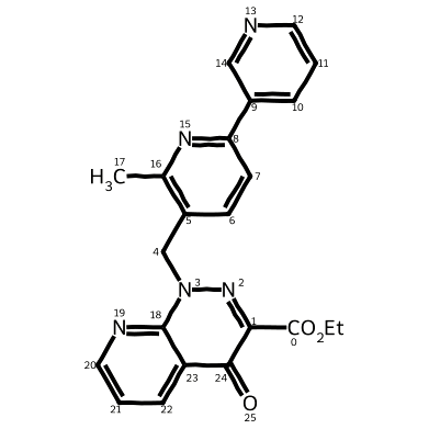 CCOC(=O)c1nn(Cc2ccc(-c3cccnc3)nc2C)c2ncccc2c1=O